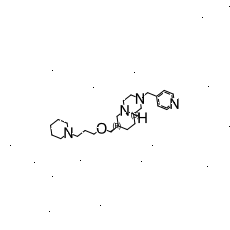 c1cc(CN2CCN3C[C@H](COCCCN4CCCCC4)CC[C@H]3C2)ccn1